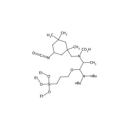 CCCCN(CCCC)C(OCCC[Si](OCC)(OCC)OCC)C(C)N(CC1(C)CC(N=C=O)CC(C)(C)C1)C(=O)O